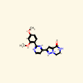 COc1ccc(-c2nccc(-c3cc4n(n3)CCNC4=O)n2)c(OC)c1